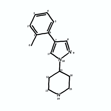 Cc1ccccc1-c1cnn(C2CC[N]CC2)c1